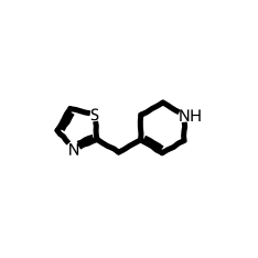 C1=C(Cc2nccs2)CCNC1